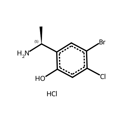 C[C@H](N)c1cc(Br)c(Cl)cc1O.Cl